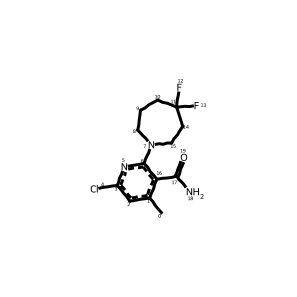 Cc1cc(Cl)nc(N2CCCC(F)(F)CC2)c1C(N)=O